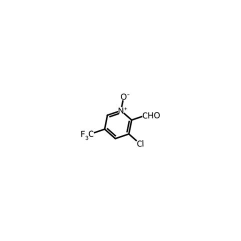 O=Cc1c(Cl)cc(C(F)(F)F)c[n+]1[O-]